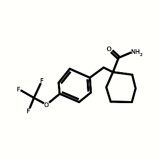 NC(=O)C1(Cc2ccc(OC(F)(F)F)cc2)CCCCC1